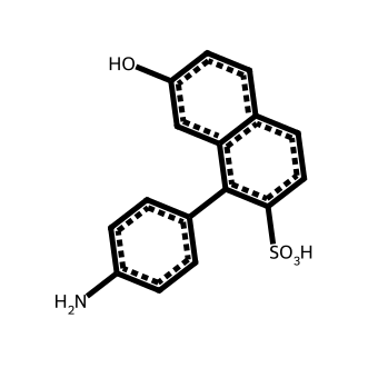 Nc1ccc(-c2c(S(=O)(=O)O)ccc3ccc(O)cc23)cc1